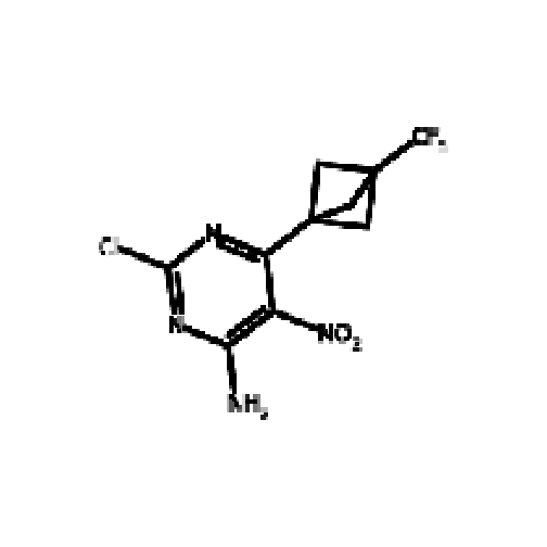 Nc1nc(Cl)nc(C23CC(C(F)(F)F)(C2)C3)c1[N+](=O)[O-]